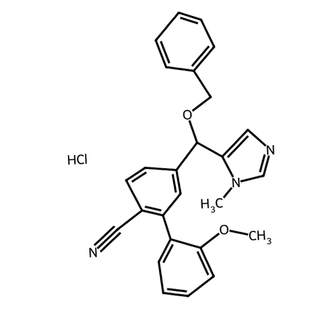 COc1ccccc1-c1cc(C(OCc2ccccc2)c2cncn2C)ccc1C#N.Cl